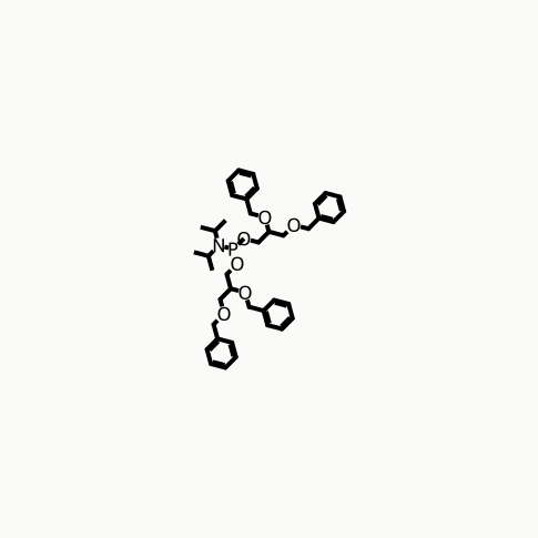 CC(C)N(C(C)C)P(OCC(COCc1ccccc1)OCc1ccccc1)OCC(COCc1ccccc1)OCc1ccccc1